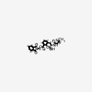 CC(F)(F)CC(=O)N[C@H]1Cc2cccc(C(=O)OCN3C(=O)c4ccccc4C3=O)c2OB1O